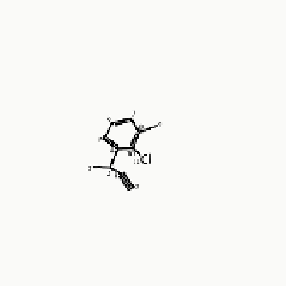 C#C[C](C)c1cccc(C)c1Cl